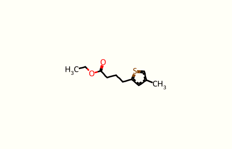 CCOC(=O)CCCc1cc(C)cs1